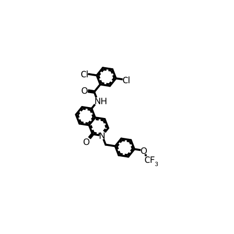 O=C(Nc1cccc2c(=O)n(Cc3ccc(OC(F)(F)F)cc3)ccc12)c1cc(Cl)ccc1Cl